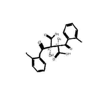 Cc1ccccc1C(=O)[C@@](O)(C(=O)O)[C@](O)(C(=O)O)C(=O)c1ccccc1C